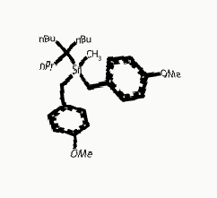 CCCC[C](CCC)(CCCC)[Sn]([CH3])([CH2]c1ccc(OC)cc1)[CH2]c1ccc(OC)cc1